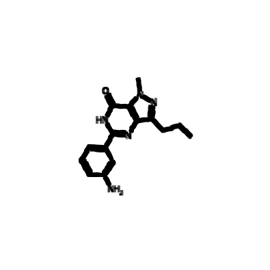 CCCc1nn(C)c2c(=O)[nH]c(-c3cccc(N)c3)nc12